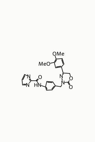 COc1ccc(C2=NN(Cc3ccc(NC(=O)c4ncccn4)cc3)C(=O)OC2)cc1OC